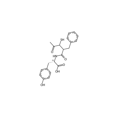 CC(=O)C(S)C(Cc1ccccc1)C(=O)N[C@@H](Cc1ccc(O)cc1)C(=O)O